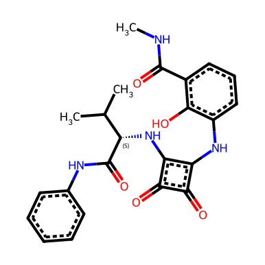 CNC(=O)c1cccc(Nc2c(N[C@H](C(=O)Nc3ccccc3)C(C)C)c(=O)c2=O)c1O